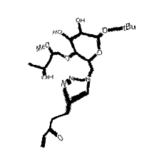 C=CC(=O)CCc1cn(CC2OC(OC(C)(C)C)C(O)C(O)C2OC(OC)C(C)O)nn1